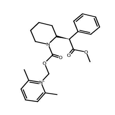 COC(=O)[C@H](c1ccccc1)C1CCCCN1C(=O)OC[n+]1c(C)cccc1C